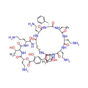 CC(C)C[C@@H]1NC(=O)[C@@H](Cc2ccccc2)NC(=O)[C@H](CCN)NC(=O)[C@@H](NC(=O)[C@H](CCCN)NC(=O)[C@@H](NC(=O)[C@H](CCN)OC(=O)c2ccc(-c3ccccc3)cc2O)C(C)O)CCNC(=O)[C@H]([C@H](C)O)NC(=O)[C@H](CCN)NC(=O)[C@H](CCN)NC1=O